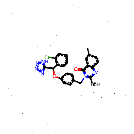 CCCCc1nc2ccc(C)cc2c(=O)n1Cc1ccc(OC(c2nnn[nH]2)c2ccccc2Cl)cc1